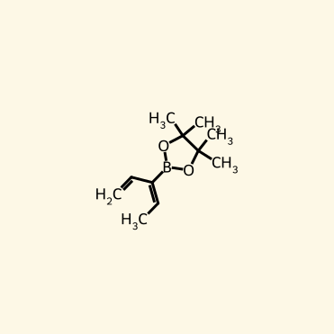 C=CC(=CC)B1OC(C)(C)C(C)(C)O1